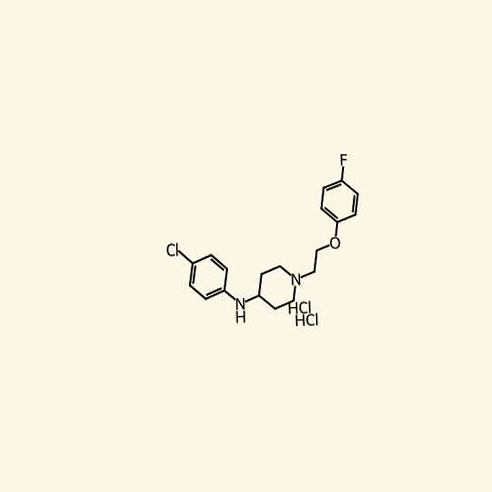 Cl.Cl.Fc1ccc(OCCN2CCC(Nc3ccc(Cl)cc3)CC2)cc1